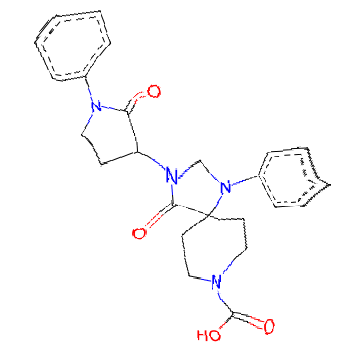 O=C(O)N1CCC2(CC1)C(=O)N(C1CCN(c3ccccc3)C1=O)CN2c1ccccc1